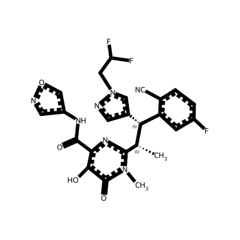 C[C@H](c1nc(C(=O)Nc2cnoc2)c(O)c(=O)n1C)[C@H](c1cnn(CC(F)F)c1)c1cc(F)ccc1C#N